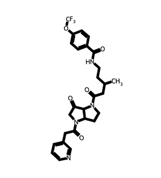 CC(CCNC(=O)c1ccc(OC(F)(F)F)cc1)CC(=O)N1CCC2C1C(=O)CN2C(=O)Cc1cccnc1